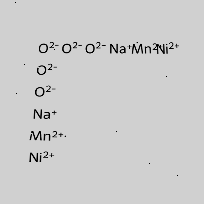 [Mn+2].[Mn+2].[Na+].[Na+].[Ni+2].[Ni+2].[O-2].[O-2].[O-2].[O-2].[O-2]